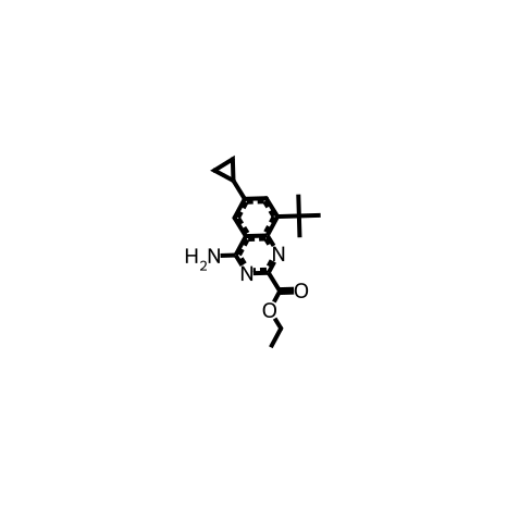 CCOC(=O)c1nc(N)c2cc(C3CC3)cc(C(C)(C)C)c2n1